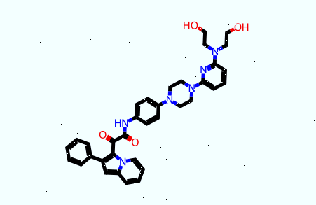 O=C(Nc1ccc(N2CCN(c3cccc(N(CCO)CCO)n3)CC2)cc1)C(=O)c1c(-c2ccccc2)cc2ccccn12